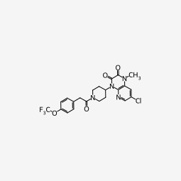 Cn1c(=O)c(=O)n(C2CCN(C(=O)Cc3ccc(OC(F)(F)F)cc3)CC2)c2ncc(Cl)cc21